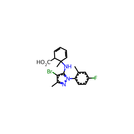 Cc1cc(F)ccc1-n1nc(C)c(Br)c1NC1(C)C=CC=CC1C(=O)O